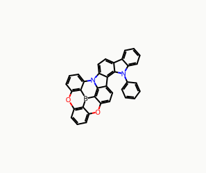 c1ccc(-n2c3ccccc3c3ccc4c(c5ccc6c7c5n4-c4cccc5c4B7c4c(cccc4O6)O5)c32)cc1